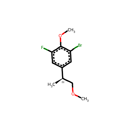 COC[C@@H](C)c1cc(F)c(OC)c(Br)c1